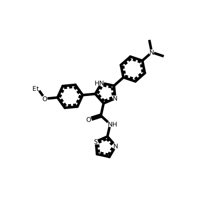 CCOc1ccc(-c2[nH]c(-c3ccc(N(C)C)cc3)nc2C(=O)Nc2nccs2)cc1